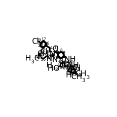 C[C@@H]1[C@@H](/N=C(/Nc2ccc3c(=O)n(CCc4ccc(Cl)cc4Cl)c(NCCN(C)C)nc3c2)N2CC(O)C2)C[C@@H]2C[C@H]1C2(C)C